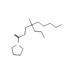 CCCCCC(C)(CCC)CCC(=O)N1CCCC1